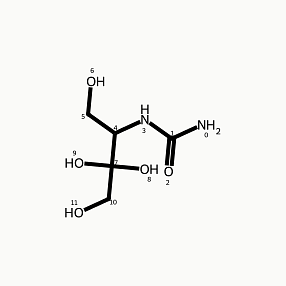 NC(=O)NC(CO)C(O)(O)CO